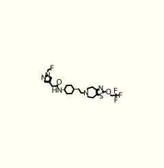 O=C(Cc1cnn(CF)c1)N[C@H]1CC[C@H](CCN2CCc3nc(OCC(F)(F)F)sc3CC2)CC1